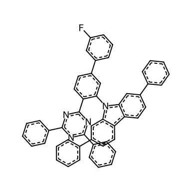 Fc1cccc(-c2ccc(-c3nc(-c4ccccc4)nc(-c4ccccc4)n3)c(-n3c4cc(-c5ccccc5)ccc4c4ccc(-c5ccccc5)cc43)c2)c1